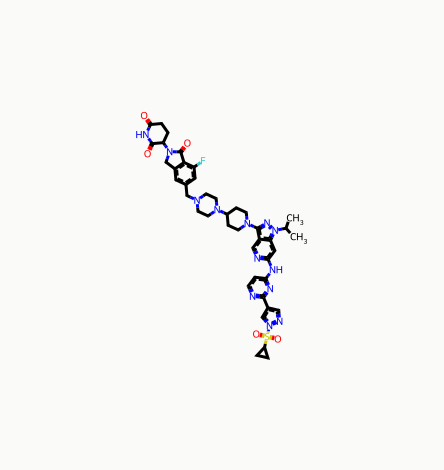 CC(C)n1nc(N2CCC(N3CCN(Cc4cc(F)c5c(c4)CN(C4CCC(=O)NC4=O)C5=O)CC3)CC2)c2cnc(Nc3ccnc(-c4cnn(S(=O)(=O)C5CC5)c4)n3)cc21